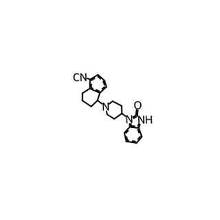 [C-]#[N+]c1cccc2c1CCCC2N1CCC(n2c(=O)[nH]c3ccccc32)CC1